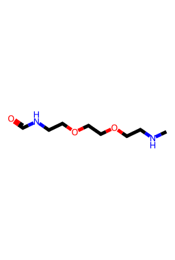 CNCCOCCOCCNC=O